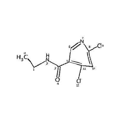 CCNC(=O)c1cnc(Cl)cc1Cl